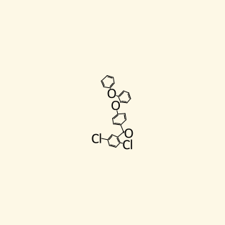 O=C(c1ccc(Oc2ccccc2Oc2ccccc2)cc1)c1cc(Cl)ccc1Cl